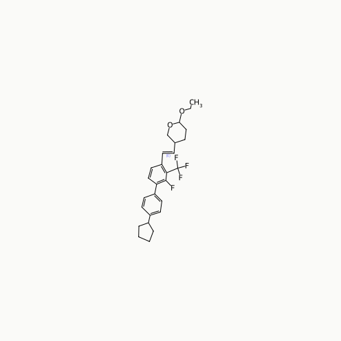 CCOC1CCC(/C=C/c2ccc(-c3ccc(C4CCCC4)cc3)c(F)c2C(F)(F)F)CO1